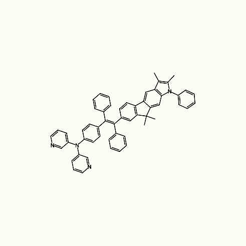 Cc1c(C)n(-c2ccccc2)c2cc3c(cc12)-c1ccc(/C(=C(\c2ccccc2)c2ccc(N(c4cccnc4)c4cccnc4)cc2)c2ccccc2)cc1C3(C)C